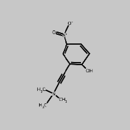 C[Si](C)(C)C#Cc1cc([N+](=O)[O-])ccc1O